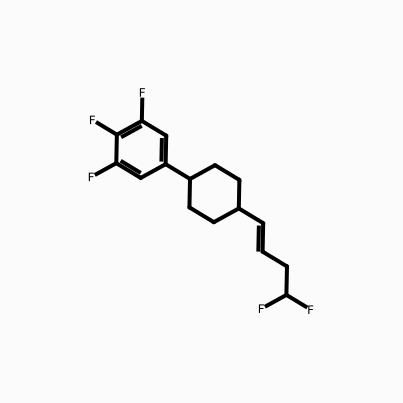 Fc1cc(C2CCC(/C=C/CC(F)F)CC2)cc(F)c1F